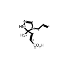 C=CCN1C=NNC1(S)/C=C/C(=O)O